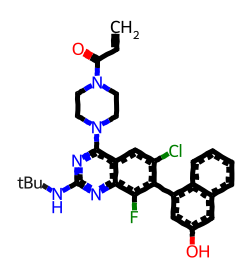 C=CC(=O)N1CCN(c2nc(NC(C)(C)C)nc3c(F)c(-c4cc(O)cc5ccccc45)c(Cl)cc23)CC1